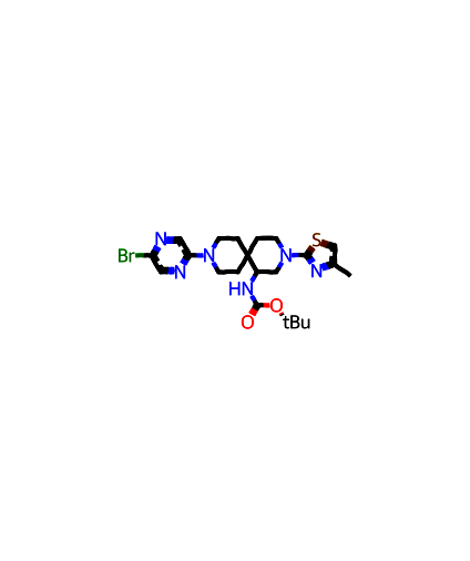 Cc1csc(N2CCC3(CCN(c4cnc(Br)cn4)CC3)C(NC(=O)OC(C)(C)C)C2)n1